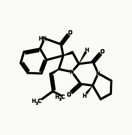 CC(C)=C[C@@H]1N2C(=O)[C@@H]3CCCN3C(=O)[C@@H]2C[C@@]12C(=O)Nc1ccccc12